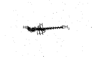 CCCCCCCCCCCCCCCCCC(=O)NNC(=O)NCCOc1ccc(Oc2ccc(O)cc2)cc1